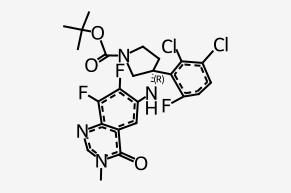 Cn1cnc2c(F)c(F)c(N[C@@]3(c4c(F)ccc(Cl)c4Cl)CCN(C(=O)OC(C)(C)C)C3)cc2c1=O